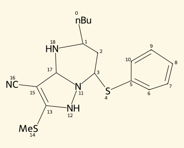 CCCCC1CC(Sc2ccccc2)N2NC(SC)=C(C#N)C2N1